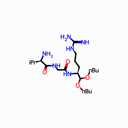 CCCCOC(OCCCC)[C@H](CCCNC(=N)N)NC(=O)CNC(=O)[C@H](N)C(C)C